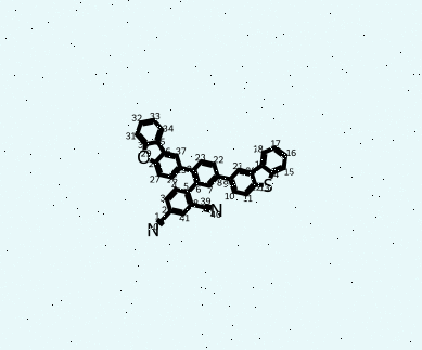 N#Cc1ccc(-c2cc(-c3ccc4sc5ccccc5c4c3)ccc2-c2ccc3oc4ccccc4c3c2)c(C#N)c1